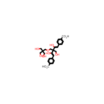 O=C(O)c1ccc(C=C(O)C(CO)(COCC(CO)(CO)CO)C(O)=Cc2ccc(C(=O)O)cc2)cc1